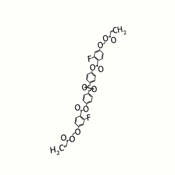 C=CC(=O)OCOc1ccc(C(=O)Oc2ccc(S(=O)(=O)c3ccc(OC(=O)c4ccc(OCOC(=O)C=C)cc4F)cc3)cc2)c(F)c1